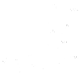 CNc1nc(Nc2ccc(C(=O)N3CCC(C#N)CC3)cc2OC)ncc1Cl